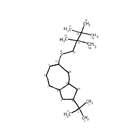 CC(C)(C)C1CC2CCCC(SCC(C)(C)C(C)(C)C)CC2C1